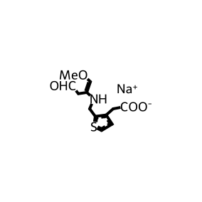 COC=C(CC=O)NCc1sccc1CC(=O)[O-].[Na+]